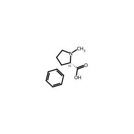 CN1CCC[C@H]1C(=O)O.c1ccccc1